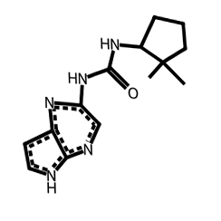 CC1(C)CCCC1NC(=O)Nc1cnc2[nH]ccc2n1